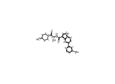 CC(C)(C)c1ccnc(-c2cnc3[nH]cc(C(=O)N[C@H](O)C(=O)N4CCC(C#N)CC4)c3n2)c1